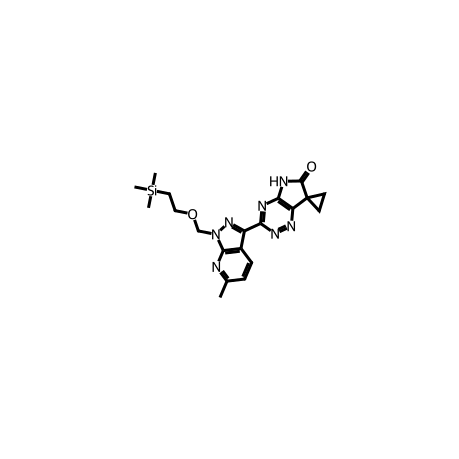 Cc1ccc2c(-c3nnc4c(n3)NC(=O)C43CC3)nn(COCC[Si](C)(C)C)c2n1